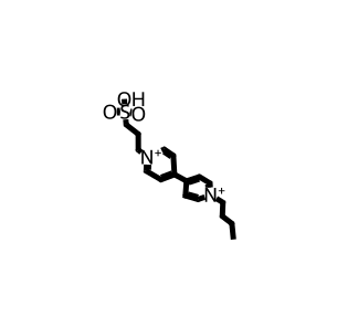 CCCC[n+]1ccc(-c2cc[n+](CCCS(=O)(=O)O)cc2)cc1